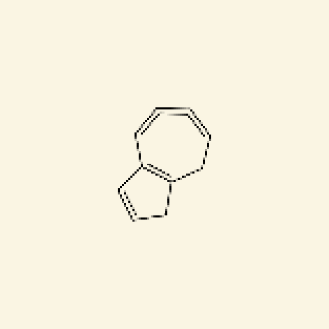 C1=C=CC2=C(CC=1)CC=C2